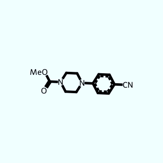 COC(=O)N1CCN(c2ccc(C#N)cc2)CC1